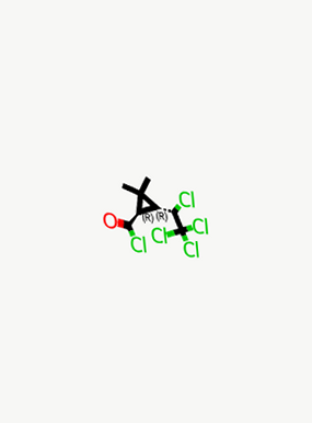 CC1(C)[C@H](C(=O)Cl)[C@H]1C(Cl)C(Cl)(Cl)Cl